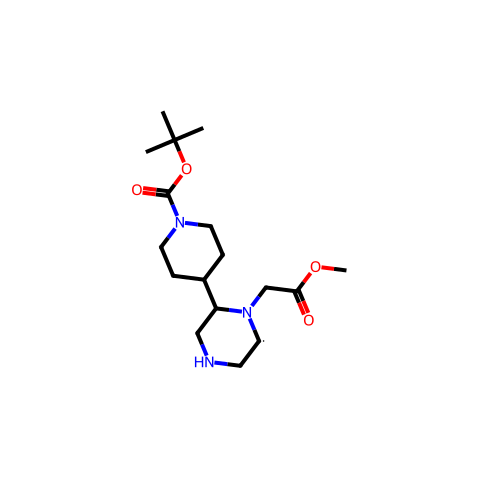 COC(=O)CN1[CH]CNCC1C1CCN(C(=O)OC(C)(C)C)CC1